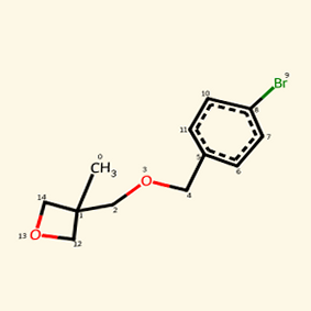 CC1(COCc2ccc(Br)cc2)COC1